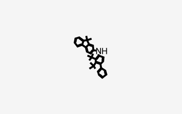 CC(C)(C)c1c(Nc2ccc3c(c2)C(C)(C)c2ccccc2-3)ccc(-c2ccccc2)c1C(C)(C)C